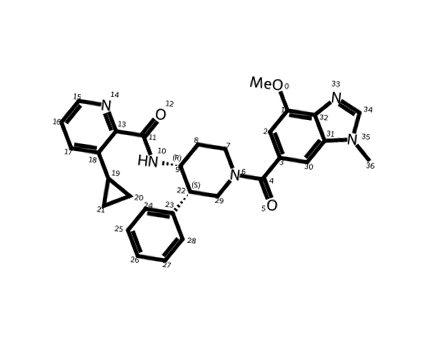 COc1cc(C(=O)N2CC[C@@H](NC(=O)c3ncccc3C3CC3)[C@@H](c3ccccc3)C2)cc2c1ncn2C